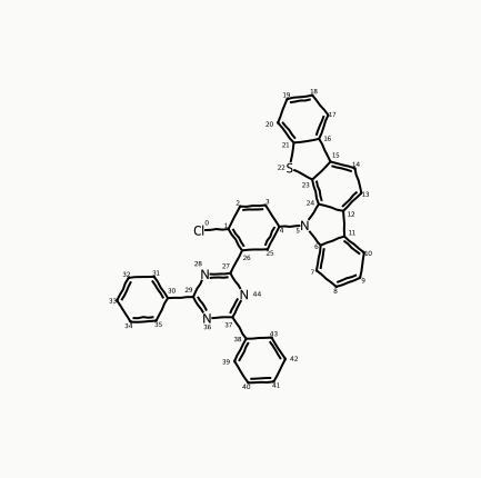 Clc1ccc(-n2c3ccccc3c3ccc4c5ccccc5sc4c32)cc1-c1nc(-c2ccccc2)nc(-c2ccccc2)n1